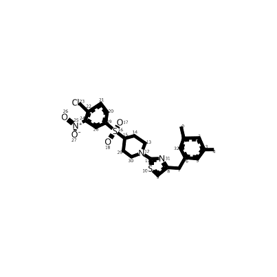 Cc1cc(C)cc(Cc2csc(N3CCC(S(=O)(=O)c4ccc(Cl)c([N+](=O)[O-])c4)CC3)n2)c1